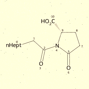 CCCCCCCCC(=O)N1C(=O)CC[C@H]1C(=O)O